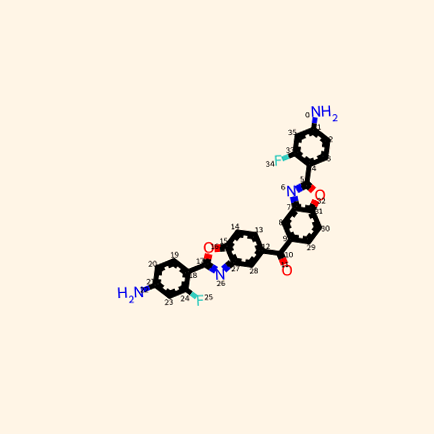 Nc1ccc(-c2nc3cc(C(=O)c4ccc5oc(-c6ccc(N)cc6F)nc5c4)ccc3o2)c(F)c1